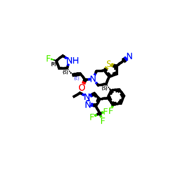 CCn1cc(-c2c(F)cccc2[C@@H]2CN(C(=O)/C=C/[C@@H]3C[C@@H](F)CN3)Cc3sc(C#N)cc32)c(C(F)(F)F)n1